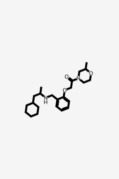 CC(CC1CCCCC1)NCc1ccccc1OCC(=O)N1CCOC(C)C1